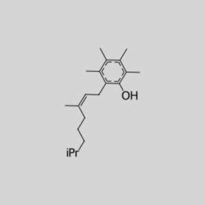 CC(=CCc1c(C)c(C)c(C)c(C)c1O)CCCC(C)C